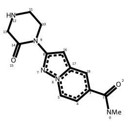 CNC(=O)c1ccn2nc(N3CCNCC3=O)cc2c1